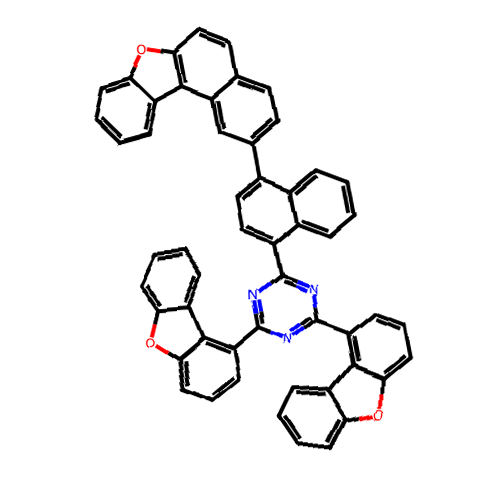 c1ccc2c(c1)oc1cccc(-c3nc(-c4ccc(-c5ccc6ccc7oc8ccccc8c7c6c5)c5ccccc45)nc(-c4cccc5oc6ccccc6c45)n3)c12